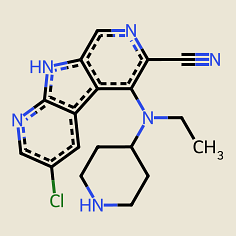 CCN(c1c(C#N)ncc2[nH]c3ncc(Cl)cc3c12)C1CCNCC1